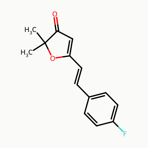 CC1(C)OC(C=Cc2ccc(F)cc2)=CC1=O